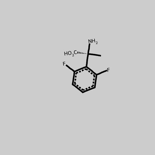 C[C@@](N)(C(=O)O)c1c(F)cccc1F